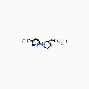 CCOC(=O)CC1CCCN(c2ccc(C(F)(F)F)cn2)C1